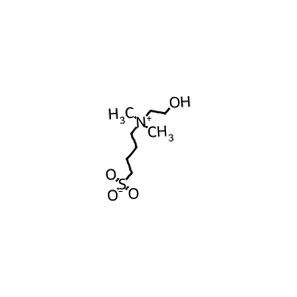 C[N+](C)(CCO)CCCCS(=O)(=O)[O-]